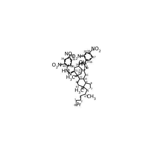 CC(C)CCC[C@@H](C)[C@H]1CCC2C(C/C=N/Nc3ccc([N+](=O)[O-])cc3[N+](=O)[O-])C([C@@]3(C)CC[C@H](O)C/C3=N\Nc3ccc([N+](=O)[O-])cc3[N+](=O)[O-])CC[C@@]21C